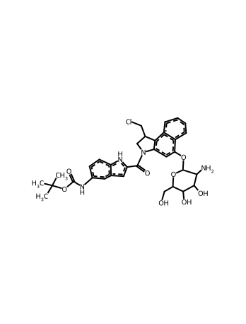 CC(C)(C)OC(=O)Nc1ccc2[nH]c(C(=O)N3CC(CCl)c4c3cc(OC3OC(CO)C(O)C(O)C3N)c3ccccc43)cc2c1